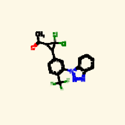 CC(=O)C1C(c2ccc(C(F)(F)F)c(-n3nnc4ccccc43)c2)C1(Cl)Cl